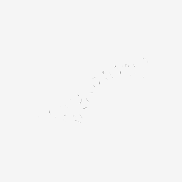 COC(=O)NC(C(=O)N1CCC[C@H]1c1ncc(-c2ccc3c(c2)c(C(C)C)c2n3CCN(C)c3cc(-c4cnc([C@@H]5CCCN5C(=O)[C@@H](NC(=O)OC)C(C)C)[nH]4)ccc3-2)[nH]1)C(C)C